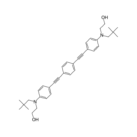 CC(C)(C)CN(CCO)c1ccc(C#Cc2ccc(C#Cc3ccc(N(CCO)CC(C)(C)C)cc3)cc2)cc1